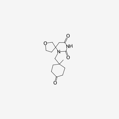 CC1(CN2C(=O)NC(=O)CC23CCOC3)CCC(=O)CC1